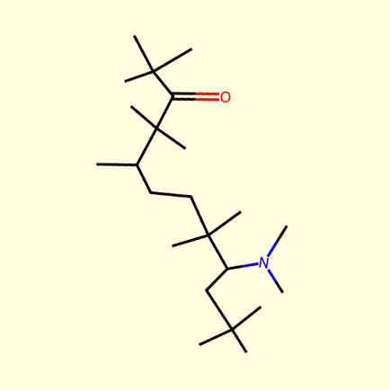 CC(CCC(C)(C)C(CC(C)(C)C)N(C)C)C(C)(C)C(=O)C(C)(C)C